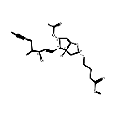 CC#CCC(C)[C@H](O)/C=C/[C@H]1[C@H](OC(C)=O)CC2O[C@H](CCCCC(=O)OC)C[C@@H]21